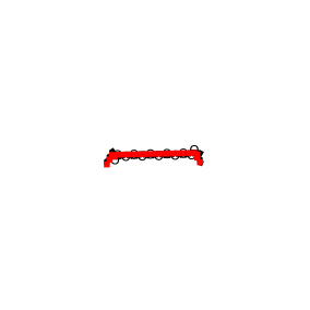 CCCCC(CC)C(=O)OCCOCCOCCOCCOCCOCCOCCOCCOCCOC(=O)C(CC)CCCC